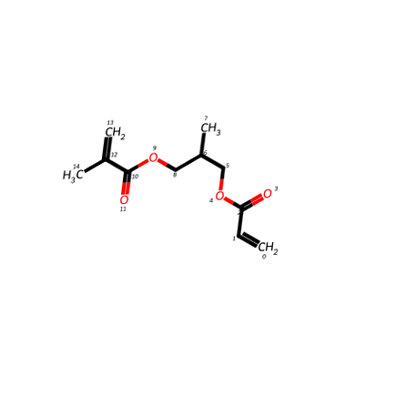 C=CC(=O)OCC(C)COC(=O)C(=C)C